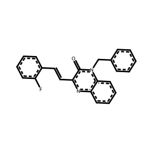 O=c1c(C=Cc2ccccc2F)nc2ccccc2n1Cc1ccccc1